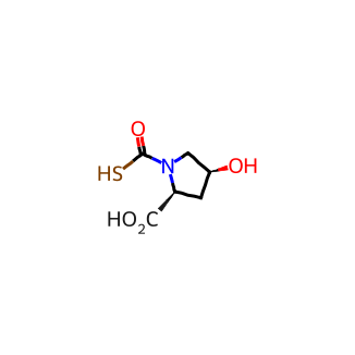 O=C(O)[C@@H]1C[C@H](O)CN1C(=O)S